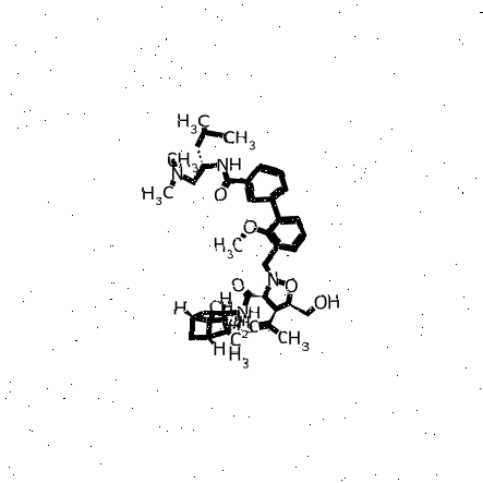 C=C(C)[C@@H]1[C@H](CO)ON(Cc2cccc(-c3cccc(C(=O)N[C@@H](CC(C)C)CN(C)C)c3)c2OC)[C@@H]1C(=O)N[C@H]1C[C@H]2C[C@@H]([C@@H]1C)C2(C)C